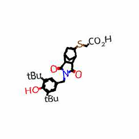 CC(C)(C)c1cc(CN2C(=O)C3C4CC(SCC(=O)O)C(C4)C3C2=O)cc(C(C)(C)C)c1O